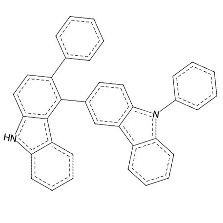 c1ccc(-c2ccc3[nH]c4ccccc4c3c2-c2ccc3c(c2)c2ccccc2n3-c2ccccc2)cc1